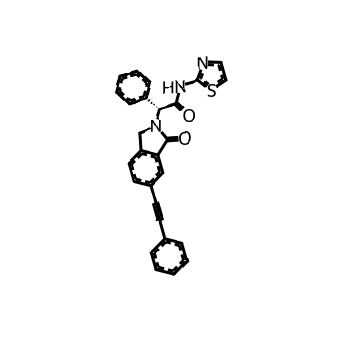 O=C(Nc1nccs1)[C@@H](c1ccccc1)N1Cc2ccc(C#Cc3ccccc3)cc2C1=O